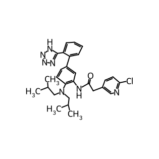 CC(C)CN(CC(C)C)c1ccc(-c2ccccc2-c2nnn[nH]2)cc1NC(=O)Cc1ccc(Cl)nc1